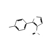 Cc1ccc(-c2sccc2[N+](=O)[O-])cc1